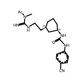 CC(=O)N(C)C(=N)NCC[C@H]1CCC[C@@H](NC(=O)Nc2ccc(C#N)cc2)C1